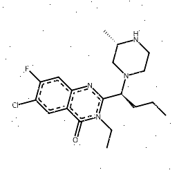 CCC[C@@H](c1nc2cc(F)c(Cl)cc2c(=O)n1CC)N1CCN[C@@H](C)C1